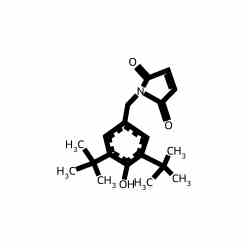 CC(C)(C)c1cc(CN2C(=O)C=CC2=O)cc(C(C)(C)C)c1O